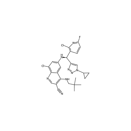 CC(C)(C)CNc1c(C#N)cnc2c(Cl)cc(N[C@H](c3cn(C4CC4)nn3)c3ccc(F)nc3Cl)cc12